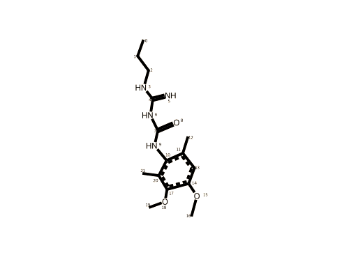 CCCNC(=N)NC(=O)Nc1c(C)cc(OC)c(OC)c1C